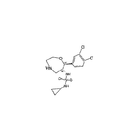 O=S(=O)(NC1CC1)N[C@@H]1CNCCO[C@H]1c1ccc(Cl)c(Cl)c1